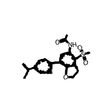 CC(=O)Nc1cc(-c2ccc(C(C)C)cc2)c2c(c1S(C)(=O)=O)CCO2